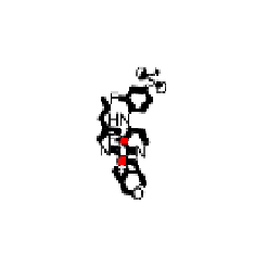 CCCc1cnc(N2CC3COCC(C2)C3Oc2nccc(Nc3ccc(S(C)(=O)=O)cc3F)c2F)nc1